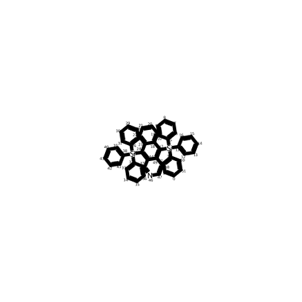 c1ccc([Si](c2ccccc2)(c2ccccc2)c2c3ccccc3c([Si](c3ccccc3)(c3ccccc3)c3ccccc3)c3cnccc23)cc1